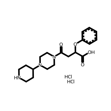 Cl.Cl.O=C(O)C(CC(=O)N1CCN(C2CCNCC2)CC1)Oc1ccccc1